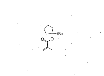 C=C(C)C(=O)OC1(C(C)(C)C)CCCC1